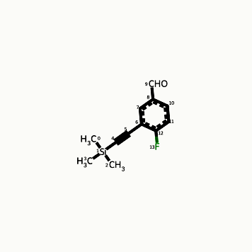 C[Si](C)(C)C#Cc1cc(C=O)ccc1F